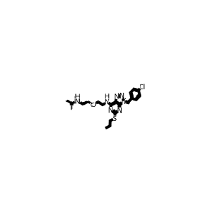 CCCSc1nc(NCCOCCNC(C)I)c2nnn(Cc3ccc(Cl)cc3)c2n1